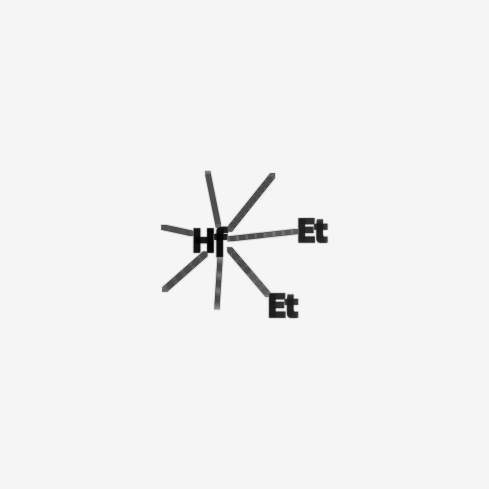 C[CH2][Hf]([CH3])([CH3])([CH3])([CH3])([CH3])[CH2]C